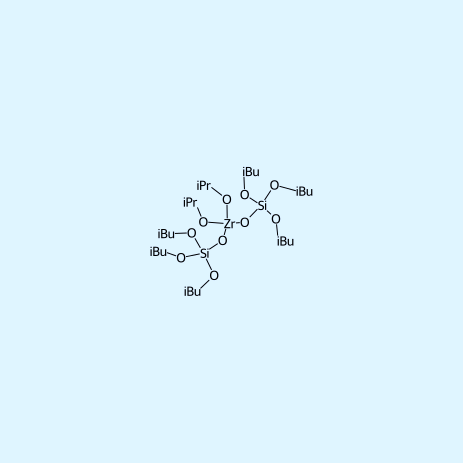 CCC(C)O[Si](OC(C)CC)(OC(C)CC)[O][Zr]([O]C(C)C)([O]C(C)C)[O][Si](OC(C)CC)(OC(C)CC)OC(C)CC